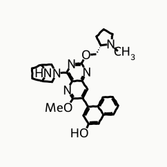 COc1nc2c(N3CC4CCC(C3)N4)nc(OC[C@@H]3CCCN3C)nc2cc1-c1cc(O)cc2ccccc12